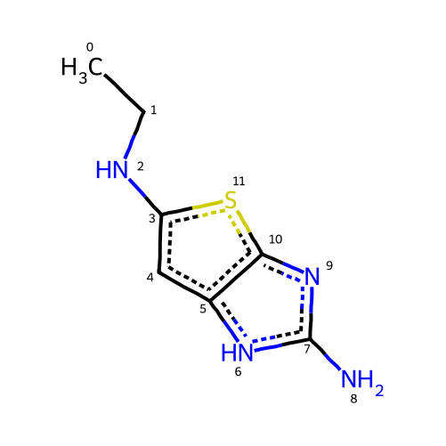 CCNc1cc2[nH]c(N)nc2s1